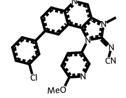 COc1ccc(-n2c(=NC#N)n(C)c3cnc4ccc(-c5cccc(Cl)c5)cc4c32)cn1